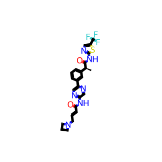 C[C@H](C(=O)Nc1ncc(C(F)(F)F)s1)c1cccc(-c2cnc(NC(=O)/C=C/CN3CCC3)cn2)c1